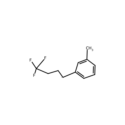 Cc1cccc([CH]CCC(F)(F)F)c1